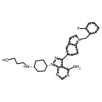 Nc1ncnc2c1c(-c1ccc3c(ccn3Cc3ccccc3F)c1)nn2[C@H]1CC[C@@H](NCCCO)CC1